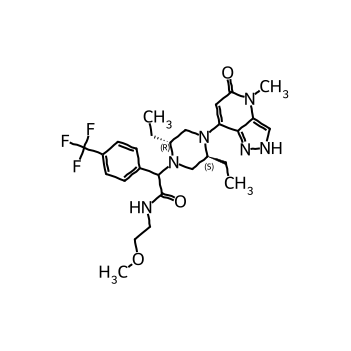 CC[C@H]1CN(C(C(=O)NCCOC)c2ccc(C(F)(F)F)cc2)[C@H](CC)CN1c1cc(=O)n(C)c2c[nH]nc12